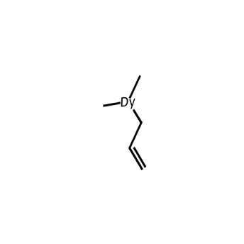 C=C[CH2][Dy]([CH3])[CH3]